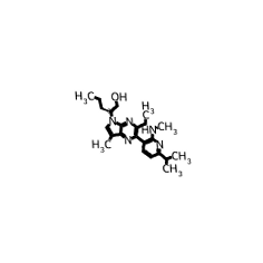 CCC[C@@H](CO)n1cc(C)c2nc(-c3ccc(C(C)C)nc3NC)c(CC)nc21